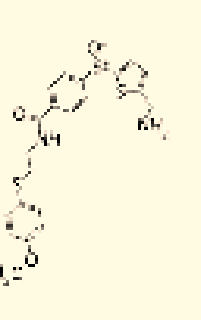 COc1ccc(SCCNC(=O)c2ccc([S+]([O-])c3ccc(CN)s3)cc2)cc1